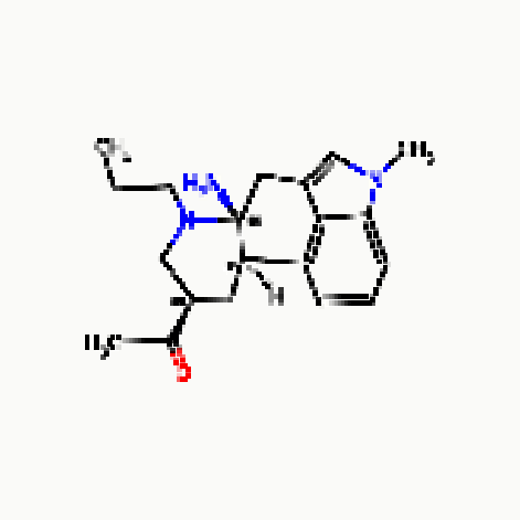 CCCN1C[C@H](C(C)=O)C[C@@H]2c3cccc4c3c(cn4C)C[C@]21N